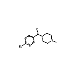 CCc1ccc(C(=O)N2CCN(C)CC2)cn1